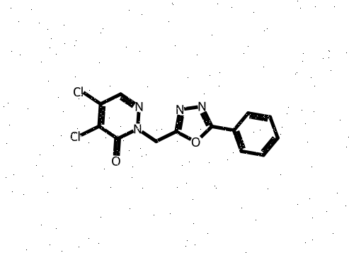 O=c1c(Cl)c(Cl)cnn1Cc1nnc(-c2ccccc2)o1